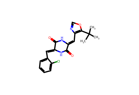 CC(C)(C)c1ocnc1/C=c1\[nH]c(=O)/c(=C/c2ccccc2Cl)[nH]c1=O